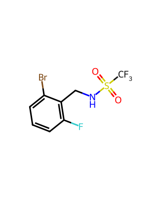 O=S(=O)(NCc1c(F)cccc1Br)C(F)(F)F